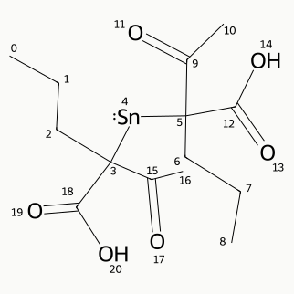 CCC[C]([Sn][C](CCC)(C(C)=O)C(=O)O)(C(C)=O)C(=O)O